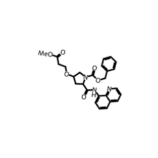 COC(=O)CCOC1CC(C(=O)Nc2cccc3cccnc23)N(C(=O)OCc2ccccc2)C1